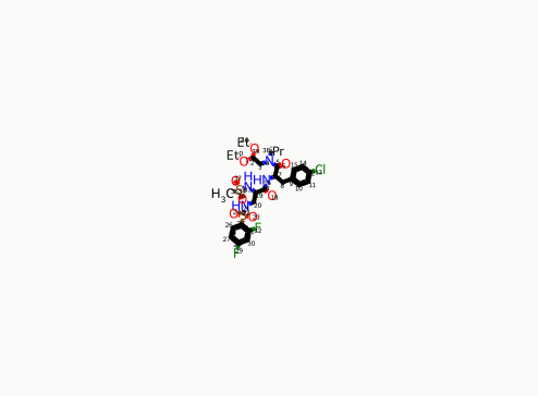 CCOC(CN(C(=O)C(Cc1ccc(Cl)cc1)NC(=O)C(CNS(=O)(=O)c1ccc(F)cc1F)NS(C)(=O)=O)C(C)C)OCC